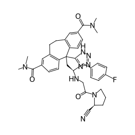 CN(C)C(=O)c1ccc2c(c1)CCc1cc(C(=O)N(C)C)ccc1C2(C[C@@H](Cc1ccc(F)cc1)NCC(=O)N1CCC[C@H]1C#N)c1nnn[nH]1